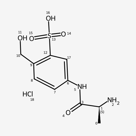 C[C@H](N)C(=O)Nc1ccc(CO)c(S(=O)(=O)O)c1.Cl